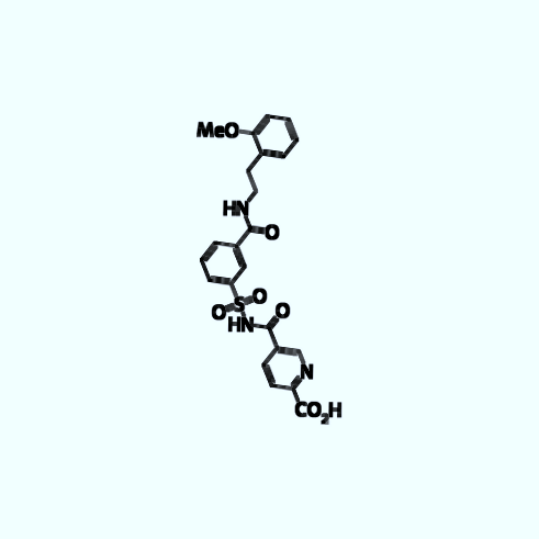 COc1ccccc1CCNC(=O)c1cccc(S(=O)(=O)NC(=O)c2ccc(C(=O)O)nc2)c1